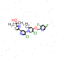 CC1=CC(OCc2ncc(F)cc2F)=C(Cl)CN1c1cc(-c2csc(C(C)(C)O)n2)ncc1Cl